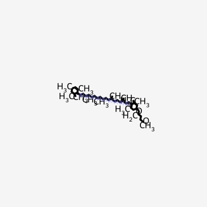 C=C(CCC(C)=O)OC1CC(C)=C(/C=C/C(C)=C/C=C/C(C)=C/C=C/C=C(C)/C=C/C=C(C)/C=C/C2C(C)=CC(C)CC2(C)C)C(C)(C)C1